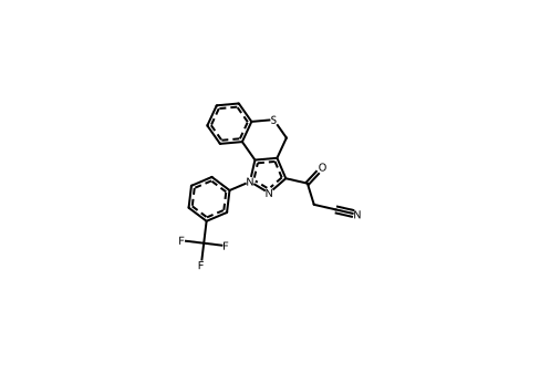 N#CCC(=O)c1nn(-c2cccc(C(F)(F)F)c2)c2c1CSc1ccccc1-2